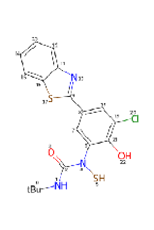 CC(C)(C)NC(=O)N(S)c1cc(-c2nc3ccccc3s2)cc(Cl)c1O